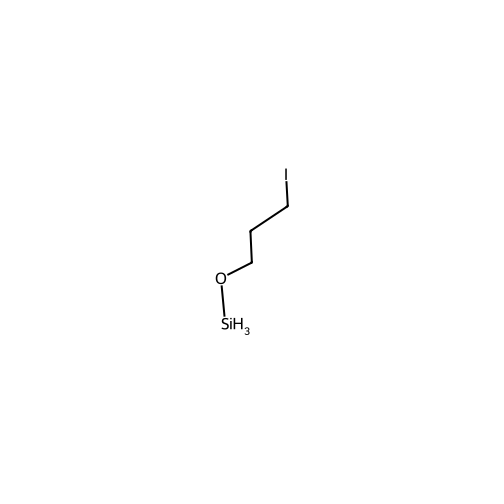 [SiH3]OCCCI